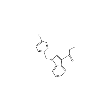 CCC(=O)c1cn(Cc2ccc(F)cc2)c2ccccc12